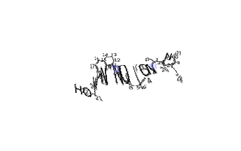 C/C(=N\OCC(C)(C)CO/N=C1\CCCc2ccc(C#CCO)nc21)c1cc(C)cc(C)n1